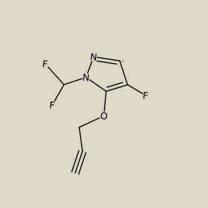 C#CCOc1c(F)[c]nn1C(F)F